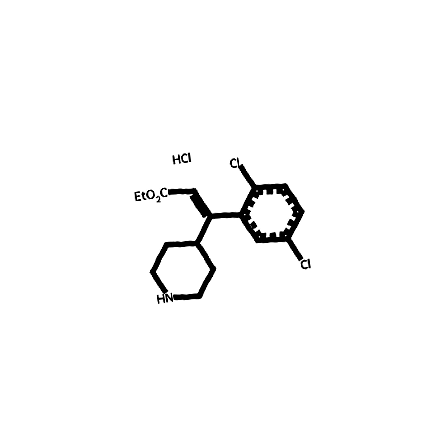 CCOC(=O)/C=C(/c1cc(Cl)ccc1Cl)C1CCNCC1.Cl